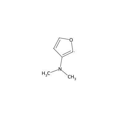 CN(C)c1[c]occ1